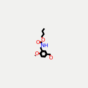 CCCCOC(=O)NCc1cc(C=O)ccc1OC